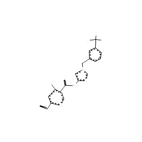 C=Cc1cc(C)c(C(=O)Nc2cn(Cc3cccc(C(F)(F)F)c3)cn2)cn1